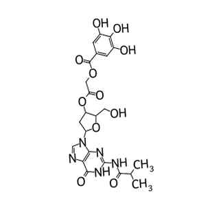 CC(C)C(=O)Nc1nc2c(ncn2C2CC(OC(=O)COC(=O)c3cc(O)c(O)c(O)c3)C(CO)O2)c(=O)[nH]1